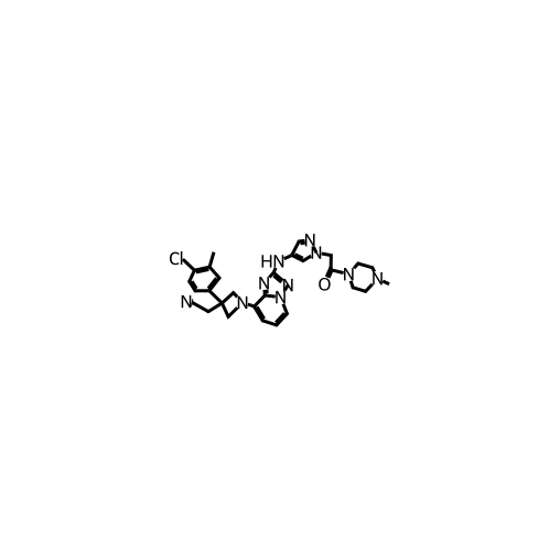 Cc1cc(C2(CC#N)CN(c3cccn4nc(Nc5cnn(CC(=O)N6CCN(C)CC6)c5)nc34)C2)ccc1Cl